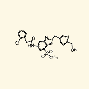 CS(=O)(=O)c1cc(NC(=O)Cc2ccccc2Cl)cc2nn(Cc3ccc(CO)nc3)cc12